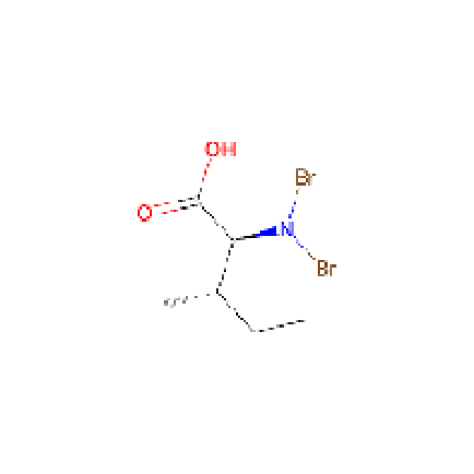 CC[C@H](C)[C@@H](C(=O)O)N(Br)Br